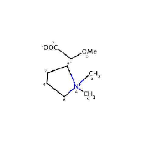 COCC(=O)[O-].C[N+]1(C)CCCC1